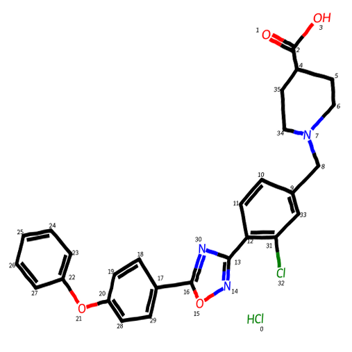 Cl.O=C(O)C1CCN(Cc2ccc(-c3noc(-c4ccc(Oc5ccccc5)cc4)n3)c(Cl)c2)CC1